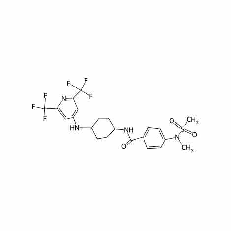 CN(c1ccc(C(=O)NC2CCC(Nc3cc(C(F)(F)F)nc(C(F)(F)F)c3)CC2)cc1)S(C)(=O)=O